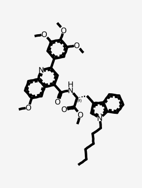 CCCCCCn1cc(C[C@@H](NC(=O)c2cc(-c3cc(OC)c(OC)c(OC)c3)nc3ccc(OC)cc23)C(=O)OC)c2ccccc21